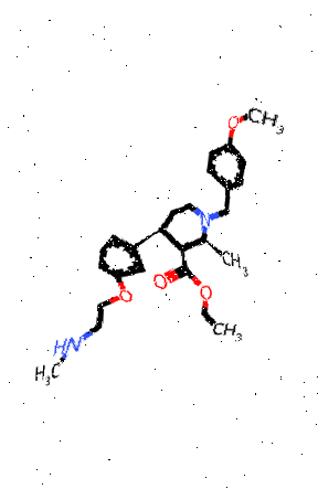 CCOC(=O)[C@H]1[C@@H](c2cccc(OCCNC)c2)CCN(Cc2ccc(OC)cc2)[C@H]1C